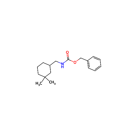 CC1(C)CCCC(CNC(=O)OCc2ccccc2)C1